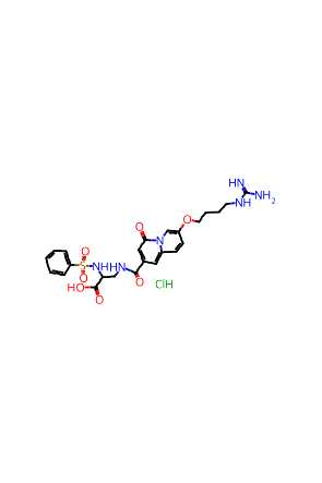 Cl.N=C(N)NCCCCOc1ccc2cc(C(=O)NCC(NS(=O)(=O)c3ccccc3)C(=O)O)cc(=O)n2c1